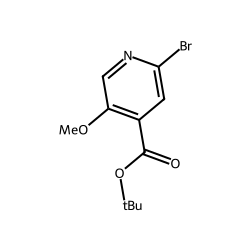 COc1cnc(Br)cc1C(=O)OC(C)(C)C